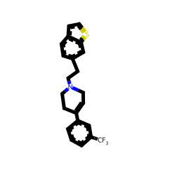 FC(F)(F)c1cccc(C2=CCN(CCc3ccc4ccsc4c3)CC2)c1